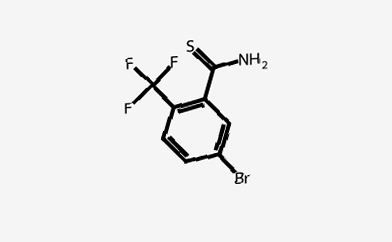 NC(=S)c1cc(Br)ccc1C(F)(F)F